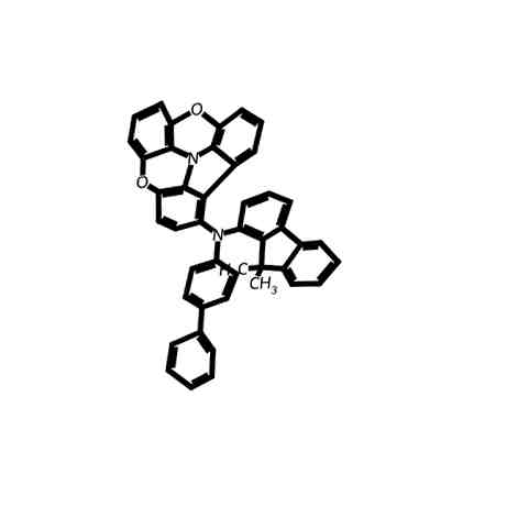 CC1(C)c2ccccc2-c2cccc(N(c3ccc(-c4ccccc4)cc3)c3ccc4c5c3c3cccc6c3n5-c3c(cccc3O4)O6)c21